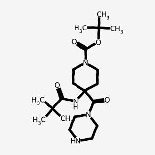 CC(C)(C)OC(=O)N1CCC(NC(=O)C(C)(C)C)(C(=O)N2CCNCC2)CC1